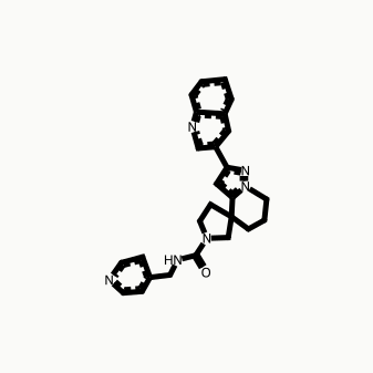 O=C(NCc1ccncc1)N1CCC2(CCCn3nc(-c4cnc5ccccc5c4)cc32)C1